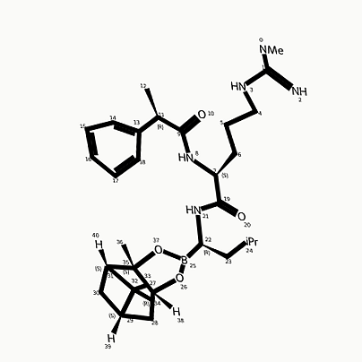 CNC(=N)NCCC[C@H](NC(=O)[C@H](C)c1ccccc1)C(=O)N[C@@H](CC(C)C)B1O[C@@H]2C[C@@H]3C[C@@H](C3(C)C)[C@]2(C)O1